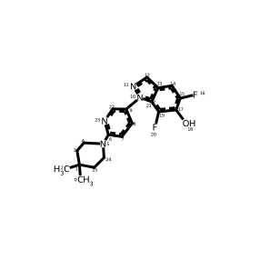 CC1(C)CCN(c2ccc(-n3ncc4cc(F)c(O)c(F)c43)cn2)CC1